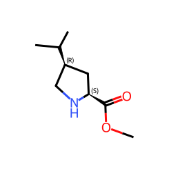 COC(=O)[C@@H]1C[C@H](C(C)C)CN1